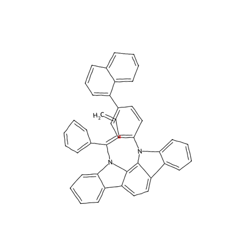 C=C/C=C(\c1ccccc1)n1c2ccccc2c2ccc3c4ccccc4n(-c4ccc(-c5cccc6ccccc56)cc4)c3c21